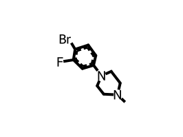 CN1CCN(c2ccc(Br)c(F)c2)CC1